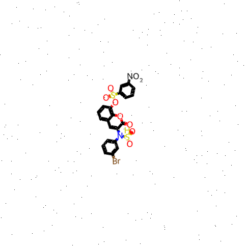 O=c1oc2c(OS(=O)(=O)c3cccc([N+](=O)[O-])c3)cccc2cc1N(c1cccc(Br)c1)[SH](=O)=O